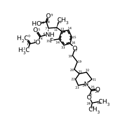 C=C(C)OC(=O)N[C@H](C(=O)O)[C@@H](C)c1ccc(OCCCC2CCN(C(=O)OC(C)C)CC2)cc1F